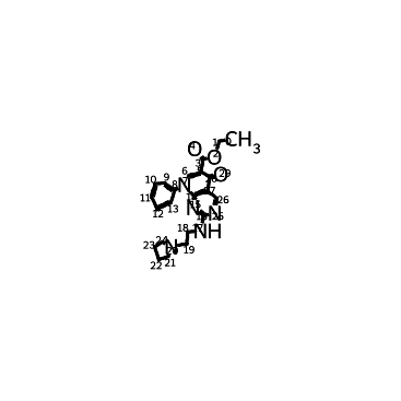 CCOC(=O)c1cn(-c2ccccc2)c2nc(NCCN3CCCC3)ncc2c1=O